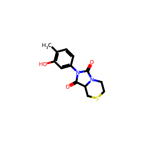 Cc1ccc(N2C(=O)C3CSCCN3C2=O)cc1O